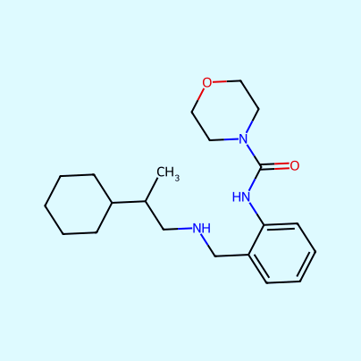 CC(CNCc1ccccc1NC(=O)N1CCOCC1)C1CCCCC1